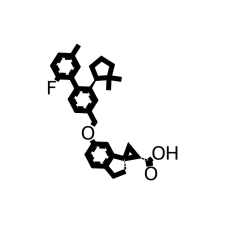 Cc1ccc(F)c(-c2ccc(COc3ccc4c(c3)[C@@]3(CC4)C[C@@H]3C(=O)O)cc2[C@H]2CCCC2(C)C)c1